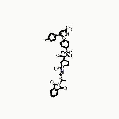 Cc1ccc(-c2cc(C(F)(F)F)nn2-c2ccc(S(=O)(=O)NC(=O)C3CCN(/[N+]([O-])=N/OC(C)N4C(=O)c5ccccc5C4=O)C3)cc2)cc1